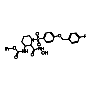 CC(C)OC(=O)NC1CCCN(S(=O)(=O)c2ccc(OCc3ccc(F)cc3)cc2)C1C(=O)NO